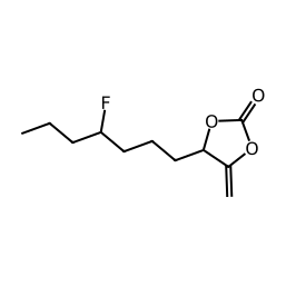 C=C1OC(=O)OC1CCCC(F)CCC